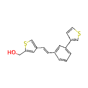 OCc1cc(/C=C/c2cccc(-c3ccsc3)c2)cs1